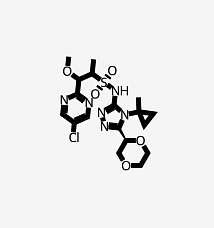 COC(c1ncc(Cl)cn1)C(C)S(=O)(=O)Nc1nnc([C@@H]2COCCO2)n1C1(C)CC1